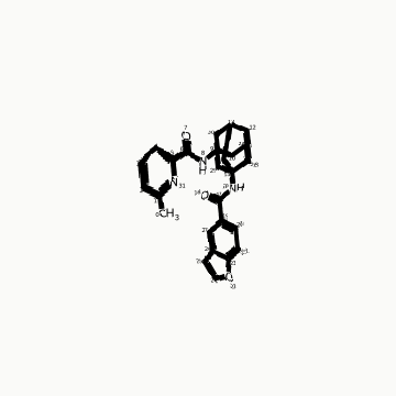 Cc1cccc(C(=O)NC23CC4CC(CC(NC(=O)c5ccc6occc6c5)(C4)C2)C3)n1